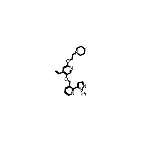 C=Cc1cc(OCCN2CCCCC2)ncc1OCc1cccnc1-c1ccnn1C(C)C